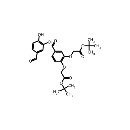 CC(C)(C)OC(=O)COc1ccc(C=O)cc1OCC(=O)OC(C)(C)C.O=Cc1ccc(O)c(O)c1